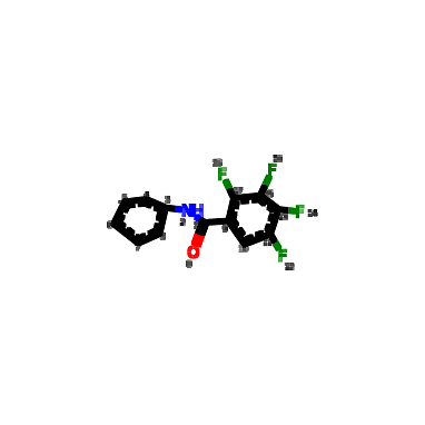 O=C(Nc1c[c]ccc1)c1cc(F)c(F)c(F)c1F